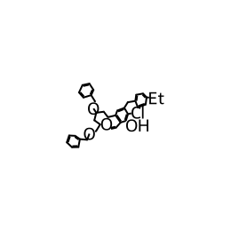 C=Cc1c(C2CC(OCc3ccccc3)CC(COCc3ccccc3)O2)cc(Cc2ccc(CC)cc2)c(Cl)c1O